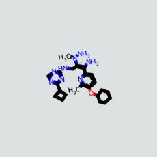 Cc1nc(/C(N)=C(\CNc2ncnc(C3CCC3)n2)N(C)N)ccc1OC1CCCCC1